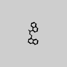 C[C](CCc1cccc2ccccc12)c1cccc2ccccc12